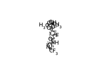 CC1(C)OB(c2ccc(CC(=O)Nc3ccnc(C(F)(F)F)c3)c(F)c2)OC1(C)C